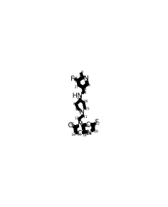 Cc1ncc(CNC2CCN(CCn3c(=O)ccc4ncc(F)cc43)CC2)cc1F